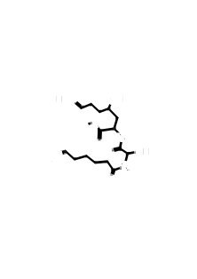 C=CCCCCC(=O)N(C)C(C)C(=O)NC(CC(C)CCC=C)C(=O)OC